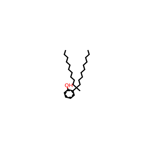 CCCCCCCCCCC(C)(CCCCCCCCCC)c1ccccc1O